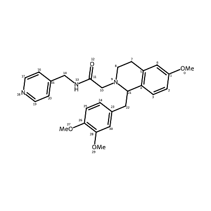 COc1ccc2c(c1)CCN(CC(=O)NCc1ccncc1)C2Cc1ccc(OC)c(OC)c1